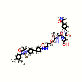 Cc1ncoc1-c1ccc(CNC(=O)[C@@H]2C[C@@H](O)CN2C(=O)[C@@H](NC(=O)COCCCC(=O)Nc2ccc(-c3ccc(N4C(=S)N(c5ccc(C#N)c(C(F)(F)F)c5)C(=O)C4(C)C)cc3)cc2)C(C)(C)C)cc1